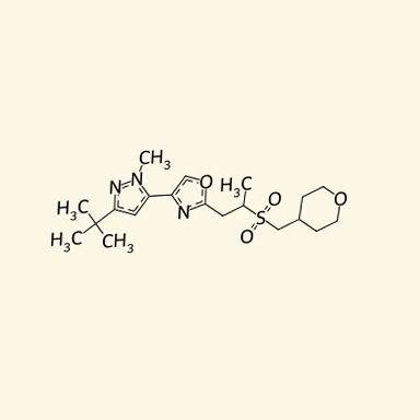 CC(Cc1nc(-c2cc(C(C)(C)C)nn2C)co1)S(=O)(=O)CC1CCOCC1